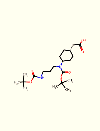 CC(C)(C)OC(=O)NCCCN(C(=O)OC(C)(C)C)[C@H]1CC[C@H](CC(=O)O)CC1